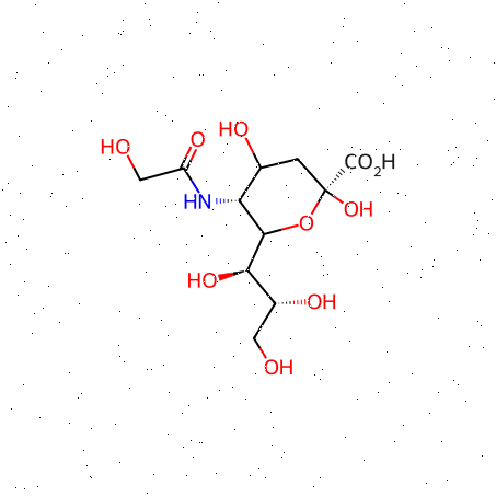 O=C(CO)N[C@@H]1C(O)C[C@](O)(C(=O)O)OC1[C@H](O)[C@H](O)CO